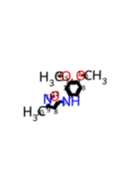 COc1ccc(Nc2cc(C)no2)cc1OC